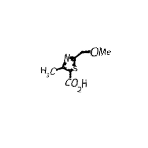 COCc1nc(C)c(C(=O)O)s1